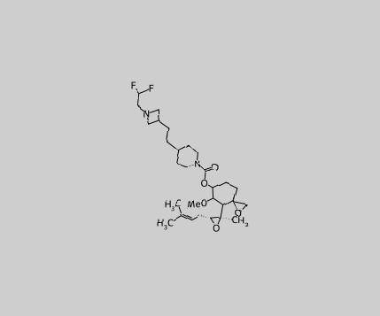 COC1C(OC(=O)N2CCC(CCC3CN(CC(F)F)C3)CC2)CCC2(CO2)C1[C@@]1(C)O[C@@H]1CC=C(C)C